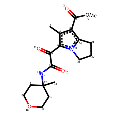 COC(=O)c1c(C)c(C(=O)C(=O)NC2(C)CCOCC2)n2c1CCC2